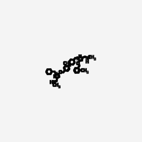 CNCc1cc(OCc2ccc(C3CCC(Cn4nc(CNC)cc4OCc4ccccc4C)CC3)c(C)c2)n(CC2CCCCC2)n1